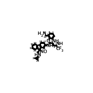 N=C(/C=C(\Nc1cccc(CN)c1)C(=O)Nc1cccc(C(CNC2CC2)(N=O)c2ccccc2)c1)C(F)(F)F